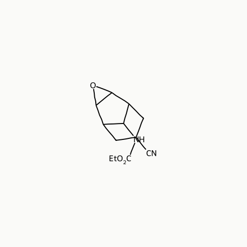 CCOC(=O)NC1C2CC(C#N)CC1C1OC21